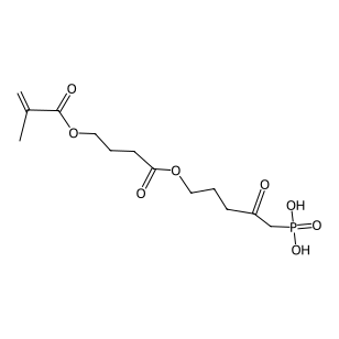 C=C(C)C(=O)OCCCC(=O)OCCCC(=O)CP(=O)(O)O